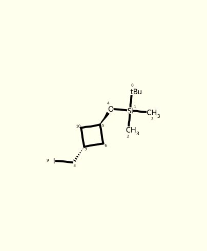 CC(C)(C)[Si](C)(C)O[C@H]1C[C@H](CI)C1